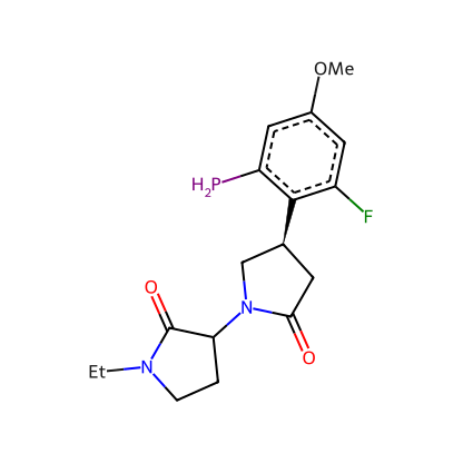 CCN1CCC(N2C[C@@H](c3c(F)cc(OC)cc3P)CC2=O)C1=O